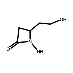 NN1C(=O)CC1CCO